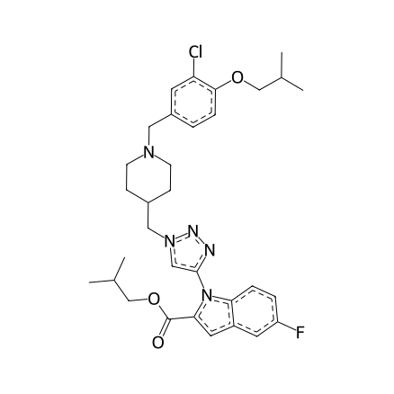 CC(C)COC(=O)c1cc2cc(F)ccc2n1-c1cn(CC2CCN(Cc3ccc(OCC(C)C)c(Cl)c3)CC2)nn1